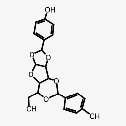 OCC1OC(c2ccc(O)cc2)OC2C1OC1OC(c3ccc(O)cc3)OC12